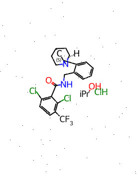 CC(C)O.Cl.O=C(NCc1ccccc1[C@@H]1CC2CCN1CC2)c1c(Cl)ccc(C(F)(F)F)c1Cl